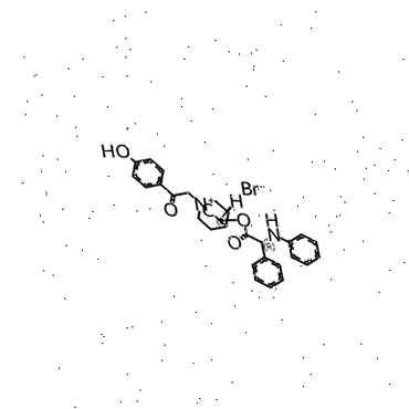 O=C(C[N+]12CCC(CC1)[C@@H](OC(=O)[C@H](Nc1ccccc1)c1ccccc1)C2)c1ccc(O)cc1.[Br-]